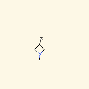 [C-]#[N+]C1CN(C)C1